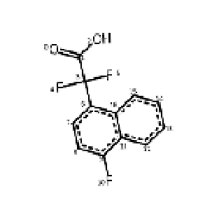 O=C(O)C(F)(F)c1ccc(F)c2ccccc12